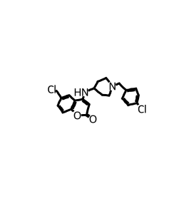 O=c1cc(NC2CCN(Cc3ccc(Cl)cc3)CC2)c2cc(Cl)ccc2o1